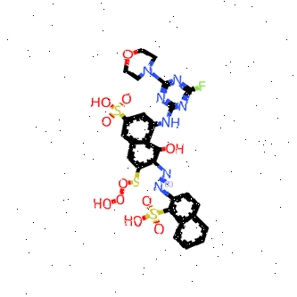 O=S(=O)(O)c1cc(Nc2nc(F)nc(N3CCOCC3)n2)c2c(O)c(/N=N/c3ccc4ccccc4c3S(=O)(=O)O)c(SOOO)cc2c1